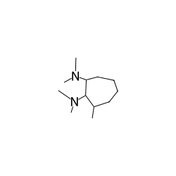 CC1CCCCC(N(C)C)C1N(C)C